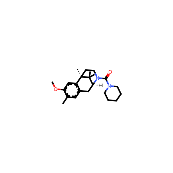 COc1cc2c(cc1C)C[C@@H]1N(C(=O)N3CCCCC3)CC[C@@]2(C)C1(C)C